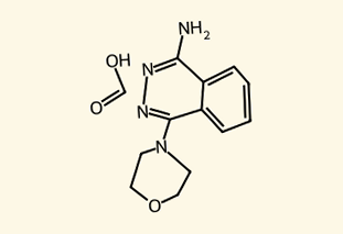 Nc1nnc(N2CCOCC2)c2ccccc12.O=CO